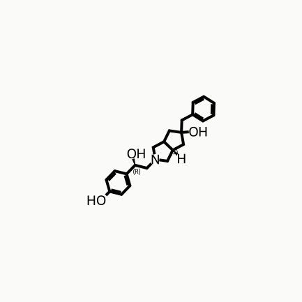 Oc1ccc([C@@H](O)CN2CC3CC(O)(Cc4ccccc4)C[C@@H]3C2)cc1